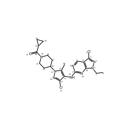 CCn1nc(Cl)c2cnc(Nc3c(Cl)nn(C4CCN(C(=O)C5CC5)CC4)c3C)nc21